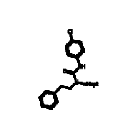 CCCCCCCN(CCc1ccccc1)C(=O)Nc1ccc(Cl)cc1